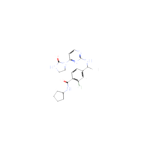 CC(Nc1nccc(N2CCNC2=O)n1)c1ccc(C(=O)NC2CCCC2)c(Cl)c1